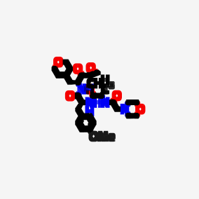 COc1ccc(C[C@H](NC(=O)[C@H](C)NC(=O)CN2CCOCC2)C(=O)N[C@@H](CC2=CCOCC2)C(=O)[C@]2(C)CO2)cc1